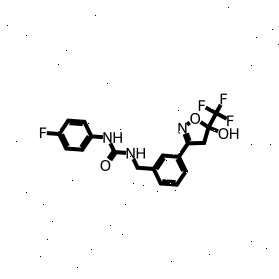 O=C(NCc1cccc(C2=NOC(O)(C(F)(F)F)C2)c1)Nc1ccc(F)cc1